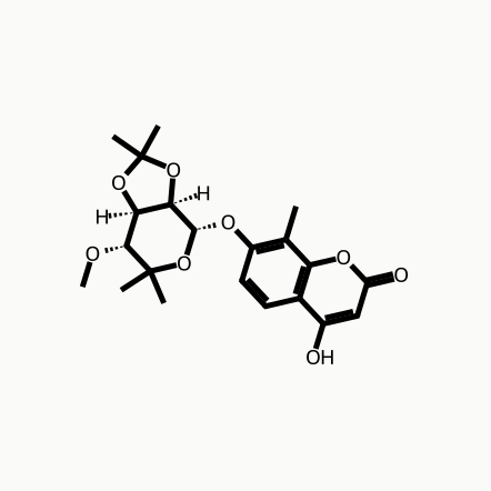 CO[C@@H]1[C@H]2OC(C)(C)O[C@H]2[C@H](Oc2ccc3c(O)cc(=O)oc3c2C)OC1(C)C